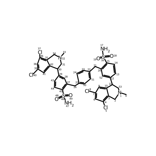 CN1Cc2c(Cl)cc(Cl)cc2C(c2ccc(S(N)(=O)=O)c(Cc3ccc(Cc4cc(C5CN(C)Cc6c(Cl)cc(Cl)cc65)ccc4S(N)(=O)=O)cc3)c2)C1